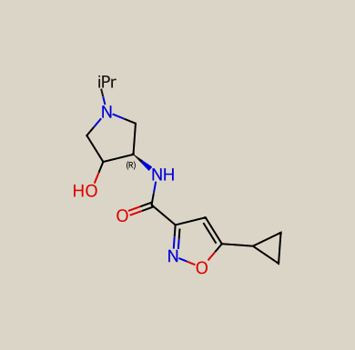 CC(C)N1CC(O)[C@H](NC(=O)c2cc(C3CC3)on2)C1